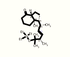 CC[Si](CC)(CC)OC(C)(C)[C@@H](C)/C=C/[C@@H](C)[C@H]1CC[C@H]2C(=O)CCC[C@]12C